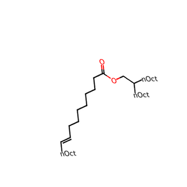 CCCCCCCCC=CCCCCCCCC(=O)OCC(CCCCCCCC)CCCCCCCC